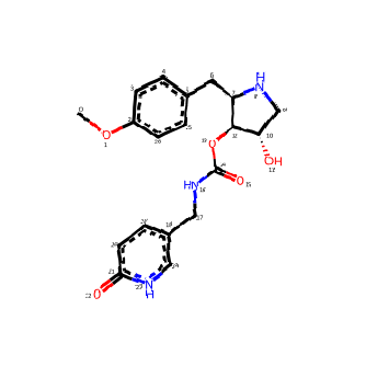 COc1ccc(C[C@H]2NC[C@H](O)[C@H]2OC(=O)NCc2ccc(=O)[nH]c2)cc1